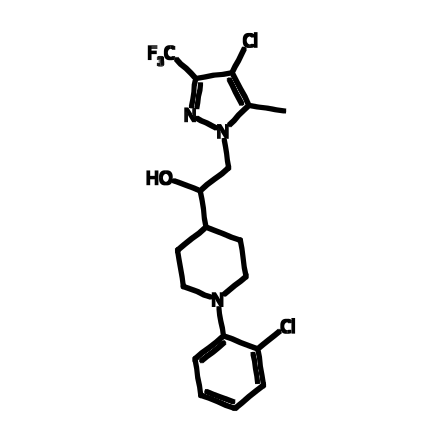 Cc1c(Cl)c(C(F)(F)F)nn1CC(O)C1CCN(c2ccccc2Cl)CC1